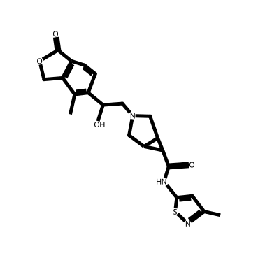 Cc1cc(NC(=O)C2C3CN(CC(O)c4ccc5c(c4C)COC5=O)CC32)sn1